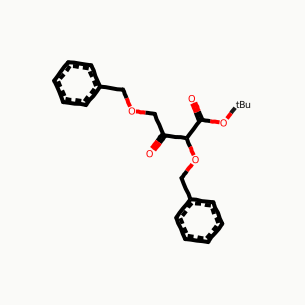 CC(C)(C)OC(=O)C(OCc1ccccc1)C(=O)COCc1ccccc1